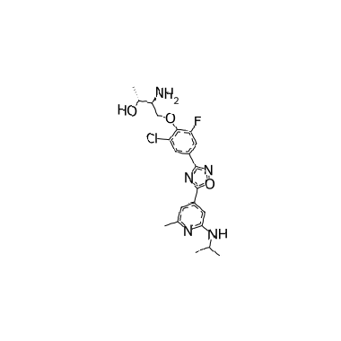 Cc1cc(-c2nc(-c3cc(F)c(OC[C@H](N)[C@@H](C)O)c(Cl)c3)no2)cc(NC(C)C)n1